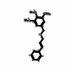 COc1cc(COCC=Cc2ccccc2)cc(OC)c1OC